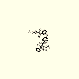 CC(=O)OC1CC(C(=O)Nc2cc(Oc3ccc(NC(=O)c4c(C)n(C)n(-c5ccccc5)c4=O)nc3)ccn2)C1